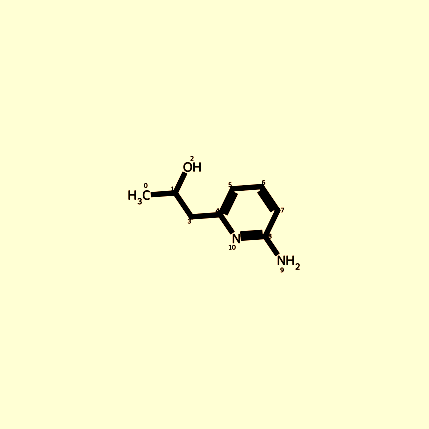 CC(O)Cc1cccc(N)n1